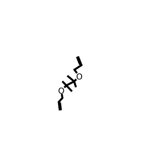 C=CCOC(C)(C)C(C)(C)OCC=C